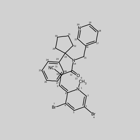 CN1C=C(Br)C=C(Br)/C1=C/C(C#N)C(=O)N(Cc1cccnc1)C1(c2ccccc2)CCCC1